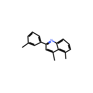 Cc1cccc(-c2cc(C)c3c(C)cccc3n2)c1